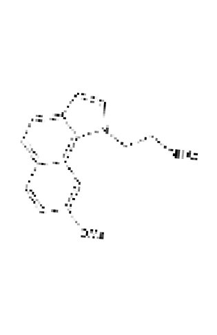 COc1ccc2ccc3ccn(CCNC(C)=O)c3c2c1